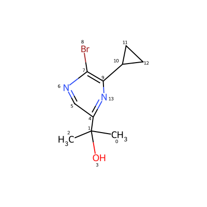 CC(C)(O)c1cnc(Br)c(C2CC2)n1